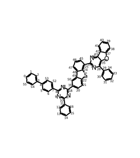 c1ccc(-c2ccc(-c3nc(-c4ccccc4)nc(-c4ccc5sc6c(-c7nc(-c8ccccc8)c8oc9ccccc9c8n7)cccc6c5c4)n3)cc2)cc1